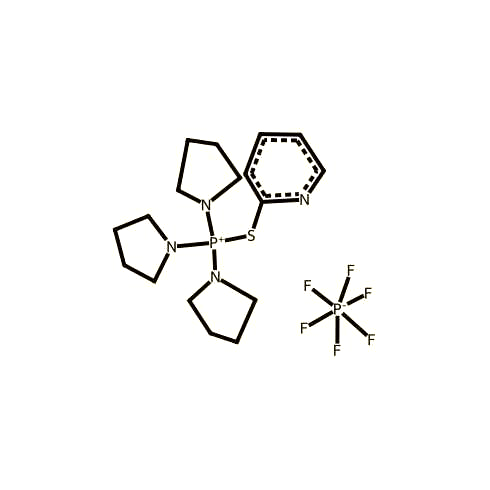 F[P-](F)(F)(F)(F)F.c1ccc(S[P+](N2CCCC2)(N2CCCC2)N2CCCC2)nc1